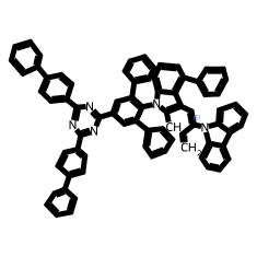 C=C/C(=C\c1c(C)n(-c2c(-c3ccccc3)cc(-c3nc(-c4ccc(-c5ccccc5)cc4)nc(-c4ccc(-c5ccccc5)cc4)n3)cc2-c2ccccc2)c2cccc(-c3ccccc3)c12)n1c2ccccc2c2ccccc21